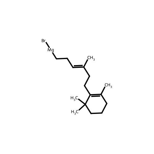 CC(=CC[CH2][Mg][Br])CCC1=C(C)CCCC1(C)C